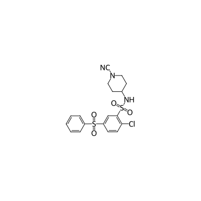 N#CN1CCC(NS(=O)(=O)c2cc(S(=O)(=O)c3ccccc3)ccc2Cl)CC1